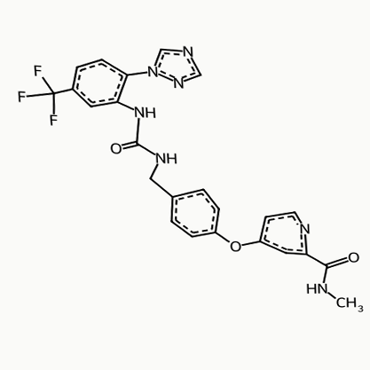 CNC(=O)c1cc(Oc2ccc(CNC(=O)Nc3cc(C(F)(F)F)ccc3-n3cncn3)cc2)ccn1